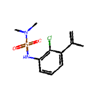 C=C(C)c1cccc(NS(=O)(=O)N(C)C)c1Cl